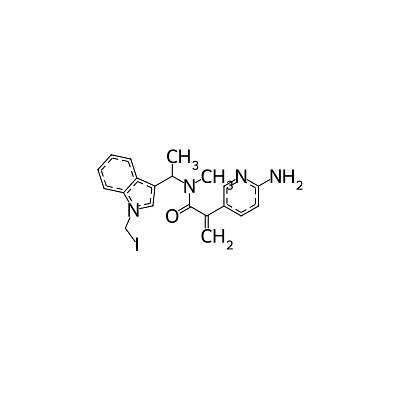 C=C(C(=O)N(C)C(C)c1cn(CI)c2ccccc12)c1ccc(N)nc1